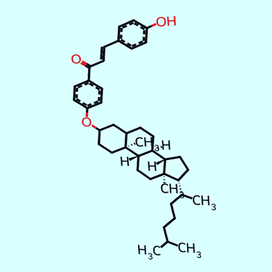 CC(C)CCCC(C)[C@H]1CC[C@H]2[C@@H]3CCC4CC(Oc5ccc(C(=O)/C=C/c6ccc(O)cc6)cc5)CC[C@]4(C)[C@H]3CC[C@]12C